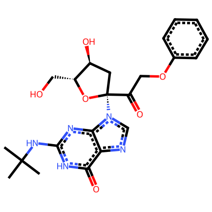 CC(C)(C)Nc1nc2c(ncn2[C@@]2(C(=O)COc3ccccc3)C[C@H](O)[C@@H](CO)O2)c(=O)[nH]1